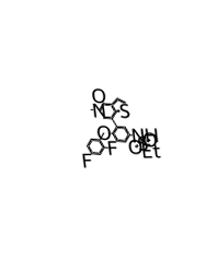 CCS(=O)(=O)Nc1ccc(Oc2ccc(F)cc2F)c(-c2cn(C)c(=O)c3ccsc23)c1